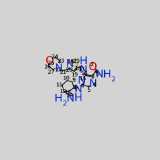 NC(=O)c1ncc(N[C@@H]2CCCC[C@@H]2N)nc1Nc1cc(CN2CCOCC2)ns1